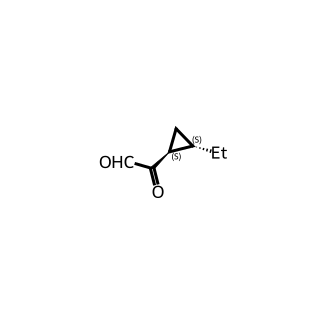 CC[C@H]1C[C@@H]1C(=O)C=O